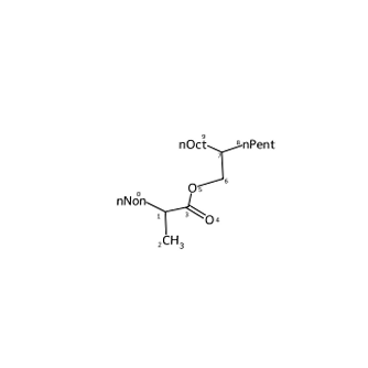 CCCCCCCCCC(C)C(=O)OCC(CCCCC)CCCCCCCC